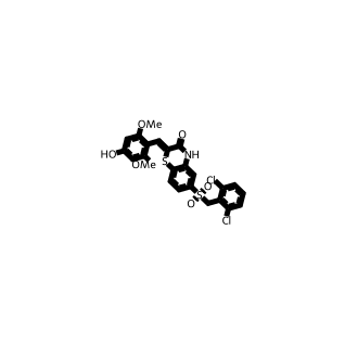 COc1cc(O)cc(OC)c1C=C1Sc2ccc(S(=O)(=O)Cc3c(Cl)cccc3Cl)cc2NC1=O